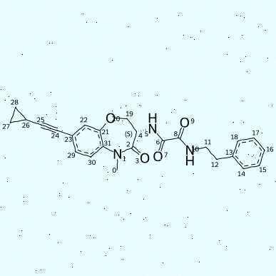 CN1C(=O)[C@@H](NC(=O)C(=O)NCCc2ccccc2)COc2cc(C#CC3CC3)ccc21